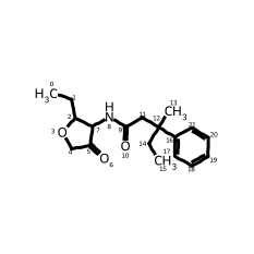 CCC1OCC(=O)C1NC(=O)CC(C)(CC)c1ccccc1